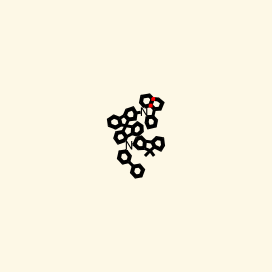 CC1(C)c2ccccc2-c2ccc(N(c3cccc(-c4ccccc4)c3)c3cccc4c3-c3ccccc3C43c4ccccc4-c4ccc(N(c5ccccc5)c5ccccc5-c5ccccc5)cc43)cc21